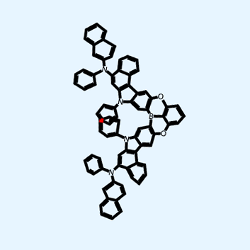 c1ccc(N(c2ccc3ccccc3c2)c2cc3c(c4ccccc24)c2cc4c(cc2n3-c2ccccc2)B2c3cc5c(cc3Oc3cccc(c32)O4)c2c3ccccc3c(N(c3ccccc3)c3ccc4ccccc4c3)cc2n5-c2ccccc2)cc1